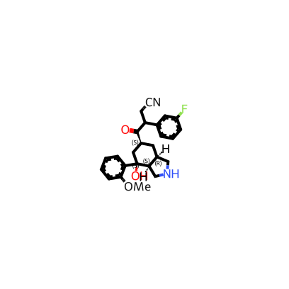 COc1ccccc1[C@]1(O)C[C@@H](C(=O)C(CC#N)c2cccc(F)c2)C[C@H]2CNC[C@H]21